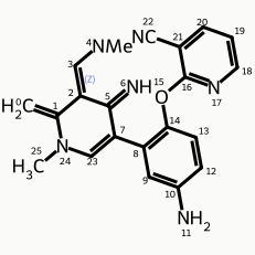 C=c1/c(=C/NC)c(=N)c(-c2cc(N)ccc2Oc2ncccc2C#N)cn1C